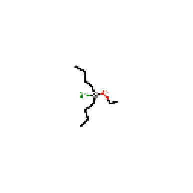 CCCC[Si](Br)(CCCC)OCC